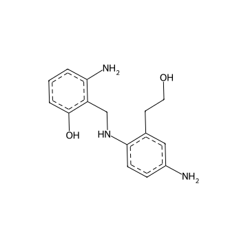 Nc1ccc(NCc2c(N)cccc2O)c(CCO)c1